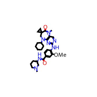 COc1cc(C(=O)N[C@@H]2CCCN(C)C2)ccc1Nc1ncc2c(n1)N(C1CCCCC1)CC1(CC1)C(=O)N2C